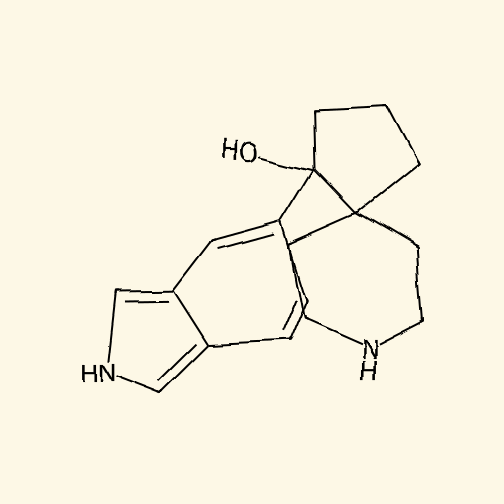 OC1(c2ccc3c[nH]cc3c2)CCCC12CCNCC2